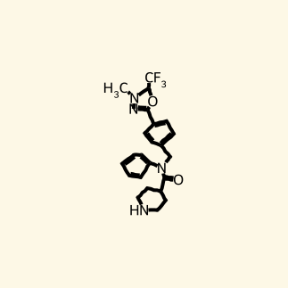 CN1N=C(c2ccc(CN(C(=O)C3CCNCC3)c3ccccc3)cc2)OC1C(F)(F)F